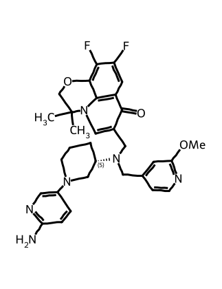 COc1cc(CN(Cc2cn3c4c(c(F)c(F)cc4c2=O)OCC3(C)C)[C@H]2CCCN(c3ccc(N)nc3)C2)ccn1